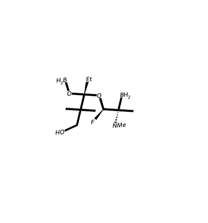 BO[C@](CC)(O[C@H](F)[C@@](B)(C)NC)C(C)(C)CO